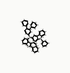 c1ccc(-c2ccc(N(c3ccc4c(c3)c3ccccc3n4-c3ccccc3)c3cccc4oc5c6ccccc6ccc5c34)cc2-c2ccccc2)cc1